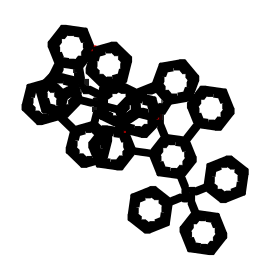 c1ccc(-c2cc([Si](c3ccccc3)(c3ccccc3)c3ccccc3)cc(-c3ccccc3)c2-n2c3ccccc3c3cc(-n4c5ccccc5c5cccc(-c6ccccc6[Si](c6ccccc6)(c6ccccc6)c6ccccc6)c54)ccc32)cc1